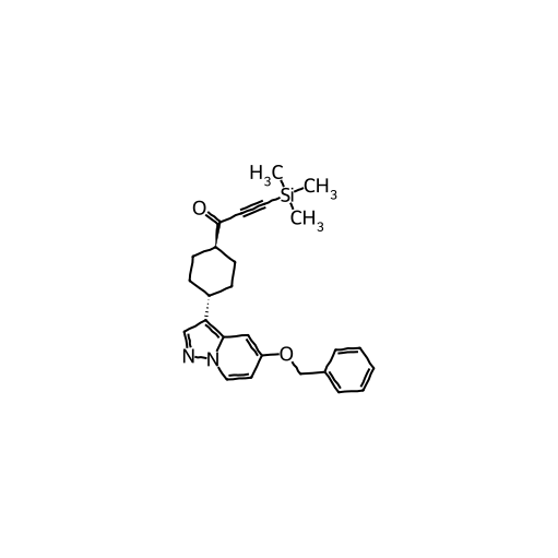 C[Si](C)(C)C#CC(=O)[C@H]1CC[C@H](c2cnn3ccc(OCc4ccccc4)cc23)CC1